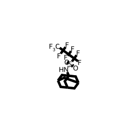 O=S(=O)(NC12CC3CC(CC(C3)C1)C2)C(F)(F)C(F)(F)C(F)(F)C(F)(F)F